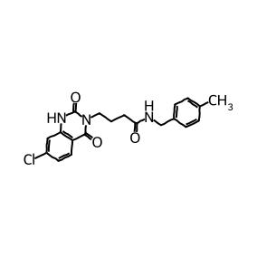 Cc1ccc(CNC(=O)CCCn2c(=O)[nH]c3cc(Cl)ccc3c2=O)cc1